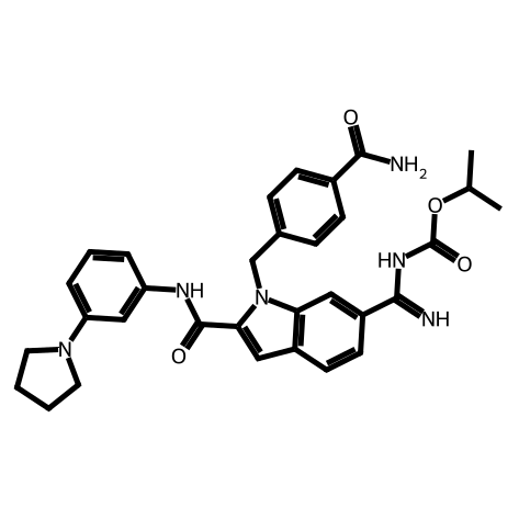 CC(C)OC(=O)NC(=N)c1ccc2cc(C(=O)Nc3cccc(N4CCCC4)c3)n(Cc3ccc(C(N)=O)cc3)c2c1